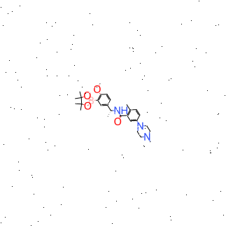 COc1ccc([C@@H](C)NC(=O)c2cc(N3CCN(C)CC3)ccc2C)cc1B1OC(C)(C)C(C)(C)O1